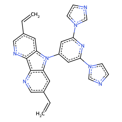 C=Cc1cnc2c3ncc(C=C)cc3n(-c3cc(-n4ccnc4)nc(-n4ccnc4)c3)c2c1